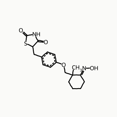 CC1(COc2ccc(CC3SC(=O)NC3=O)cc2)CCCCC1=NO